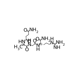 C[C@H](NC(=O)CCC(N)=O)C(=O)NCC(=O)N[C@@H](CCCNC(=N)N)C(N)=O